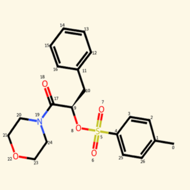 Cc1ccc(S(=O)(=O)O[C@H](Cc2ccccc2)C(=O)N2CCOCC2)cc1